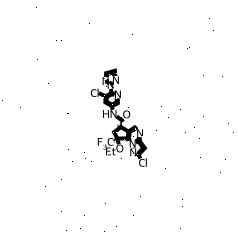 CCO[C@@]1(C(F)(F)F)C[C@@H](C(=O)Nc2cnc(-n3nccn3)c(Cl)c2)c2cnc3cc(Cl)nn3c21